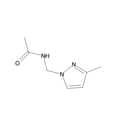 CC(=O)NCn1ccc(C)n1